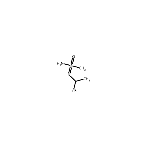 CCCC(C)N=S(C)(N)=O